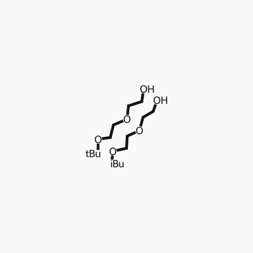 CC(C)(C)OCCOCCO.CCC(C)OCCOCCO